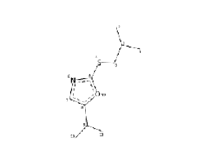 CC(C)CSc1ncc(C(C)C)o1